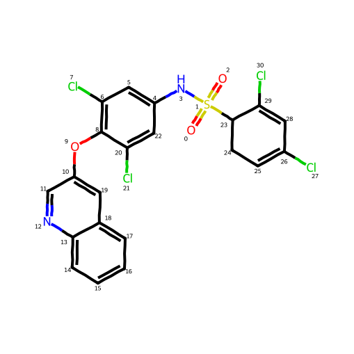 O=S(=O)(Nc1cc(Cl)c(Oc2cnc3ccccc3c2)c(Cl)c1)C1CC=C(Cl)C=C1Cl